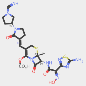 N=CN1CC[C@@H](N2CC/C(=C\C3=C(OC(=O)O)N4C(=O)[C@@H](NC(=O)/C(=N\O)c5nsc(N)n5)[C@H]4SC3)C2=O)C1